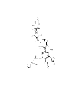 Cc1cc2c(-c3ccc(Cl)cc3)nn(-c3ccnc(OC4CN(C(=O)OC(C)(C)C)C4)c3)c(=O)c2cc1C